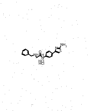 Cl.Cl.Nc1nc(-c2ccc(NC(=O)CNCc3ccccc3)cc2)cs1